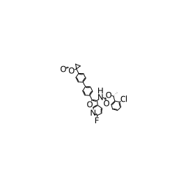 C[C@@H](OC(=O)Nc1c(-c2ccc(-c3ccc(C4(OC=O)CC4)cc3)cc2)oc2nc(F)ccc12)c1ccccc1Cl